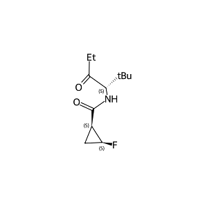 CCC(=O)[C@@H](NC(=O)[C@@H]1C[C@@H]1F)C(C)(C)C